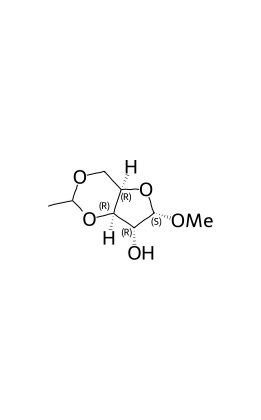 CO[C@H]1O[C@@H]2COC(C)O[C@@H]2[C@H]1O